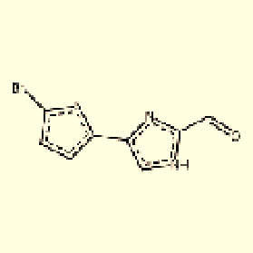 O=Cc1nc(-c2ccc(Br)s2)c[nH]1